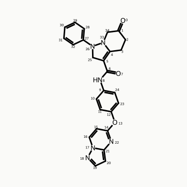 O=C1CCC2=C(C(=O)Nc3ccc(Oc4ccn5nccc5n4)cc3)CN(c3ccccc3)N2C1